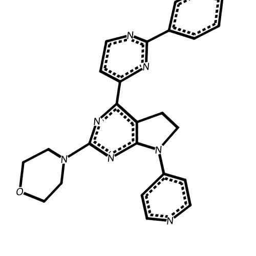 c1ccc(-c2nccc(-c3nc(N4CCOCC4)nc4c3CCN4c3ccncc3)n2)cc1